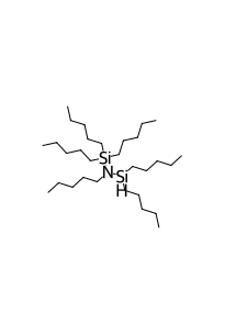 CCCCCN([SiH](CCCCC)CCCCC)[Si](CCCCC)(CCCCC)CCCCC